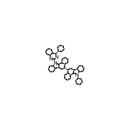 c1ccc(-c2nc(-n3c4ccccc4c4cc(-c5cc6c7ccccc7n(-c7ccccc7)c6c6ccccc56)c5ccccc5c43)nc3ccccc23)cc1